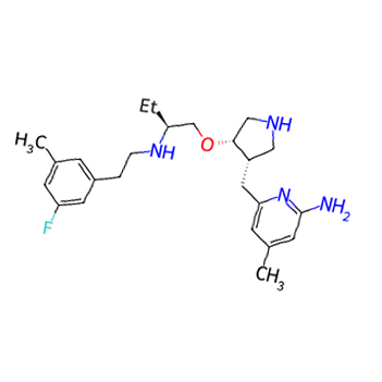 CC[C@@H](CO[C@@H]1CNC[C@@H]1Cc1cc(C)cc(N)n1)NCCc1cc(C)cc(F)c1